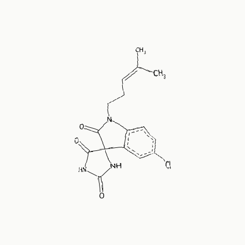 CC(C)=CCCN1C(=O)C2(NC(=O)NC2=O)c2cc(Cl)ccc21